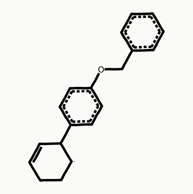 [CH]1CCC=CC1c1ccc(OCc2ccccc2)cc1